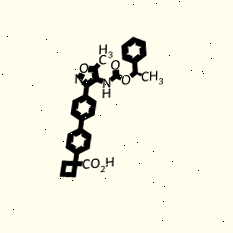 Cc1onc(-c2ccc(-c3ccc(C4(C(=O)O)CCC4)cc3)cc2)c1NC(=O)O[C@H](C)c1ccccc1